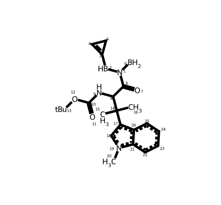 BN(BC1=CC1)C(=O)C(NC(=O)OC(C)(C)C)C(C)(C)c1cn(C)c2ccccc12